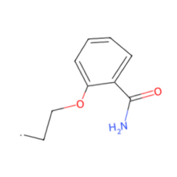 [CH2]CCOc1ccccc1C(N)=O